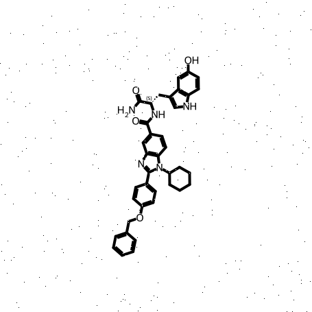 NC(=O)[C@H](Cc1c[nH]c2ccc(O)cc12)NC(=O)c1ccc2c(c1)nc(-c1ccc(OCc3ccccc3)cc1)n2C1CCCCC1